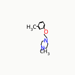 Cc1cccc(OCCN2CCN(C)CC2)c1